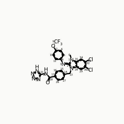 Cn1/c(=N\c2ccc(OC(F)(F)F)cc2)n(Cc2ccc(C(=O)Nc3nnn[nH]3)cc2)c2cc(Cl)c(Cl)cc21